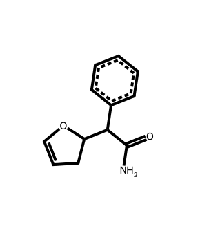 NC(=O)C(c1ccccc1)C1CC=CO1